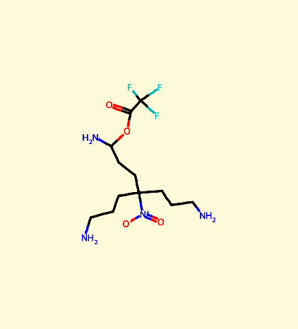 NCCCC(CCCN)(CCC(N)OC(=O)C(F)(F)F)[N+](=O)[O-]